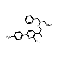 COC[C@H](Cc1ccccc1)NCC(C)c1ccc(-c2ccc(C(F)(F)F)cc2)nc1C(F)(F)F